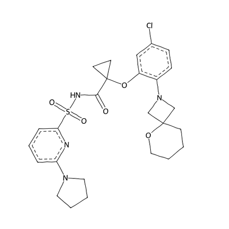 O=C(NS(=O)(=O)c1cccc(N2CCCC2)n1)C1(Oc2cc(Cl)ccc2N2CC3(CCCCO3)C2)CC1